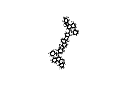 c1ccc(N(c2ccc3c(c2)sc2c3ccc3c2ccc2c4ccc(N(c5ccccc5)c5cc6oc7ccccc7c6c6ccccc56)cc4sc23)c2cc3oc4ccccc4c3c3ccccc23)cc1